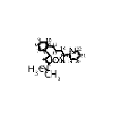 CN(C)CCCc1ccccc1CCCC(=NO)c1ccccn1